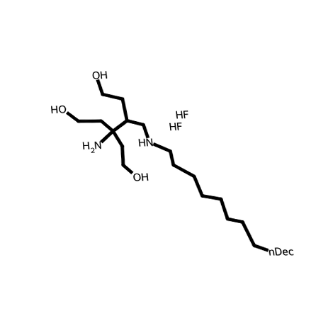 CCCCCCCCCCCCCCCCCCNCC(CCO)C(N)(CCO)CCO.F.F